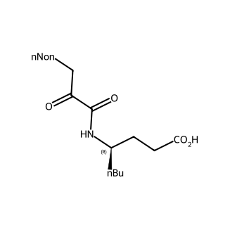 CCCCCCCCCCC(=O)C(=O)N[C@H](CCCC)CCC(=O)O